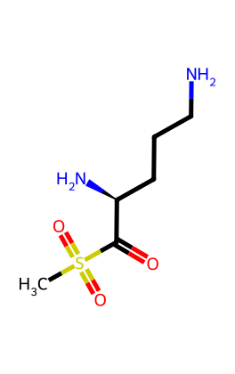 CS(=O)(=O)C(=O)[C@@H](N)CCCN